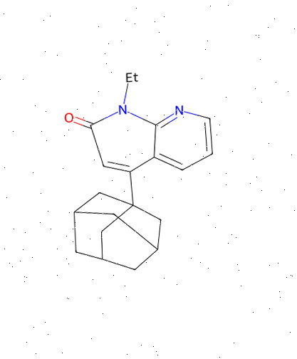 CCn1c(=O)cc(C23CC4CC(CC(C4)C2)C3)c2cccnc21